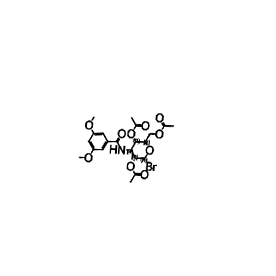 COc1cc(OC)cc(C(=O)N[C@H]2[C@@H](OC(C)=O)[C@@H](Br)O[C@H](COC(C)=O)[C@@H]2OC(C)=O)c1